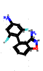 Nc1cc(F)c(-c2cccc3onc(N)c23)c(F)c1